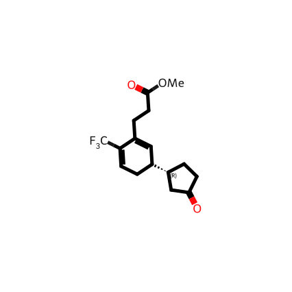 COC(=O)CCC1=CC([C@@H]2CCC(=O)C2)CC=C1C(F)(F)F